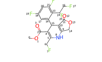 COC(=O)C1=C(CF)NC2=C(C(=O)OC2)C1c1cc(F)cc(F)c1C(F)CF